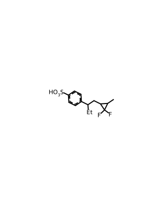 CCC(CC1C(C)C1(F)F)c1ccc(S(=O)(=O)O)cc1